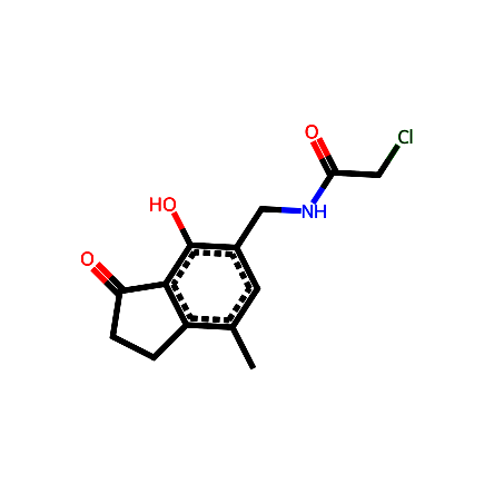 Cc1cc(CNC(=O)CCl)c(O)c2c1CCC2=O